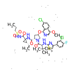 C=C[C@@H]1C[C@]1(NC(=O)[C@@H]1C[C@@H](Oc2ncc(OC)c3ccc(Cl)cc23)CN1C(=O)[C@@H](Nc1nc(-c2ccc(F)c(Cl)c2)cs1)C(C)(C)C)C(=O)NS(=O)(=O)CCC